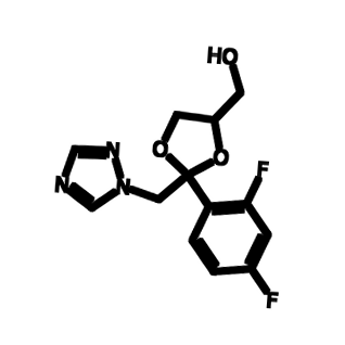 OCC1COC(Cn2cncn2)(c2ccc(F)cc2F)O1